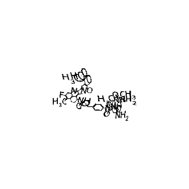 CC[C@@]1(O)C(=O)OCc2c1cc1n(c2=O)Cc2c-1nc1cc(F)c(C)c3c1c2[C@@H](NC(=O)OCc1ccc(NC(=O)[C@H](CC(N)=O)NC(=O)[C@H](C)NC(=O)[C@H](C)N)cc1)CC3